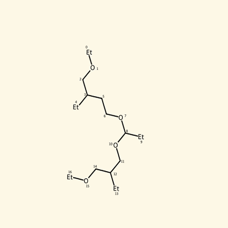 CCOCC(CC)CCOC(CC)OCC(CC)COCC